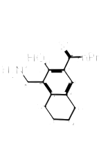 CCCC(=S)c1cc2c(c(CN)c1O)CCCC2